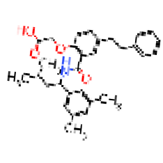 Cc1cc(C)cc([C@@H](CC(C)C)NC(=O)c2cc(CCc3ccccc3)ccc2OCC(=O)O)c1